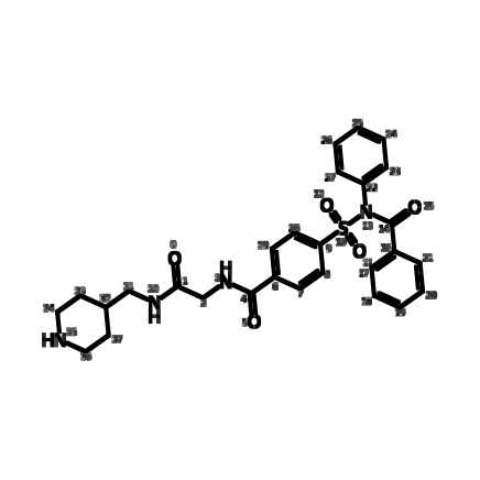 O=C(CNC(=O)c1ccc(S(=O)(=O)N(C(=O)c2ccccc2)c2ccccc2)cc1)NCC1CCNCC1